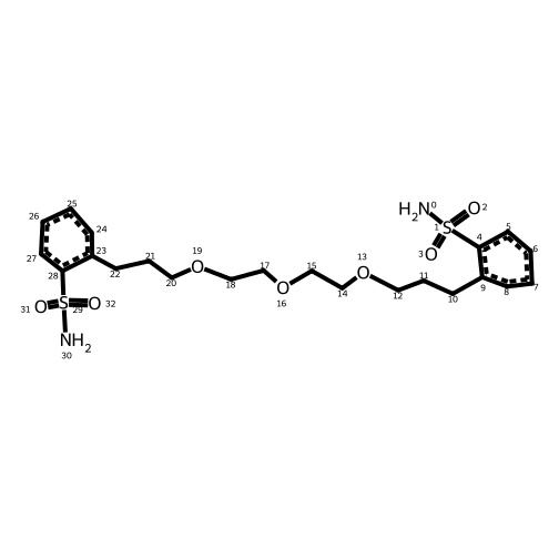 NS(=O)(=O)c1ccccc1CCCOCCOCCOCCCc1ccccc1S(N)(=O)=O